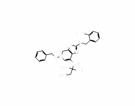 CC(C)(CO)NC1=CN(SCc2ccccc2)Cc2sc(NCc3ccccc3N)nc21